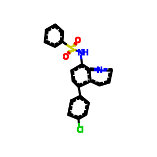 O=S(=O)(Nc1ccc(-c2ccc(Cl)cc2)c2cccnc12)c1ccccc1